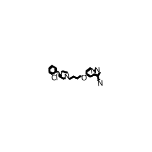 N#Cc1cnn2ccc(OCCCCN3CCN(c4ccccc4Cl)CC3)cc12